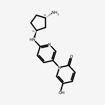 N[C@H]1CC[C@H](Nc2ccc(-n3cc(O)ccc3=O)cn2)C1